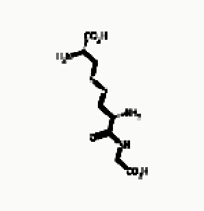 N[C@@H](CSSC[C@H](N)C(=O)NCC(=O)O)C(=O)O